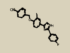 [C-]#[N+]c1ccc(COc2ccc(-c3c[nH]c(-c4ccc(F)cc4)n3)cc2C)cc1